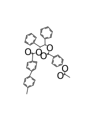 CC(=O)Oc1ccc(C(=O)O[C@H](c2ccccc2)[C@H](OC(=O)c2ccc(-c3ccc(C)cc3)cc2)c2ccccc2)cc1